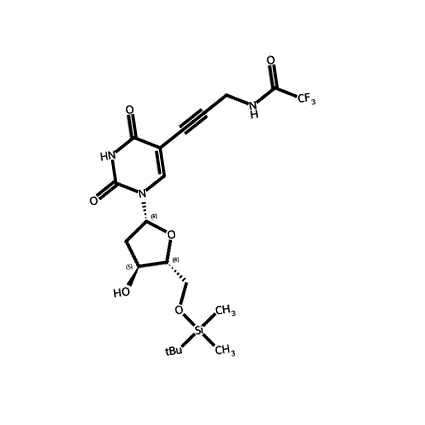 CC(C)(C)[Si](C)(C)OC[C@H]1O[C@@H](n2cc(C#CCNC(=O)C(F)(F)F)c(=O)[nH]c2=O)C[C@@H]1O